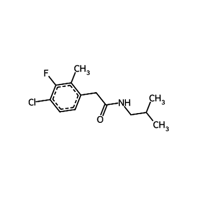 Cc1c(CC(=O)NCC(C)C)ccc(Cl)c1F